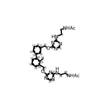 CC(=O)NCCNc1ncnc(OCc2cccc(-c3cccc(COc4ncnc(NCCNC(C)=O)n4)c3C)c2)n1